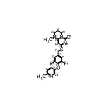 Cc1ccc(Oc2c(F)cc(COc3cc4n(c(=O)n3)CCCN4C)cc2F)cn1